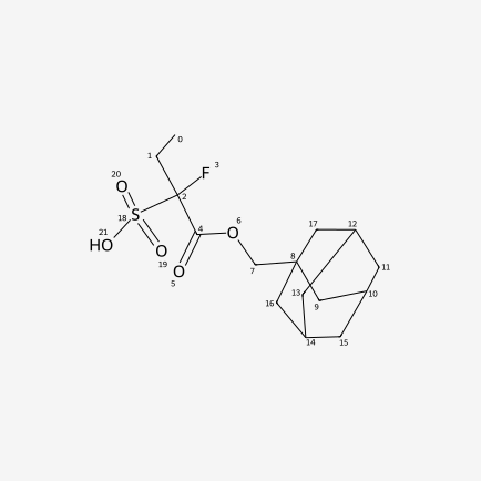 CCC(F)(C(=O)OCC12CC3CC(CC(C3)C1)C2)S(=O)(=O)O